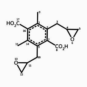 Cc1c(CC2CO2)c(C(=O)O)c(CC2CO2)c(C)c1C(=O)O